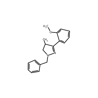 COc1ccccc1C1=NN(Cc2ccccc2)CC1C